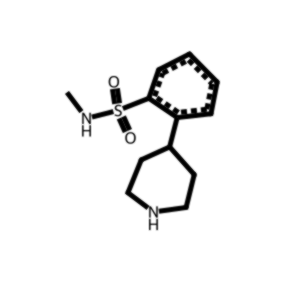 CNS(=O)(=O)c1ccccc1C1CCNCC1